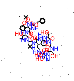 CC[C@H](C)[C@H](NC(=O)[C@@H](CCCNC(=N)N)NC(=O)[C@H](CC(C)(C)C)NC(=O)[C@@H](NC(=O)[C@@H](NC(=O)OCc1ccccc1)[C@H](NC(=O)OC(C)(C)C)c1ccccc1)[C@H](O)C(C)C)C(=O)N[C@H](C(=O)NCC(=O)N[C@@H](CO)C(=O)N[C@@H](CO)C(=O)O)[C@H](C)O